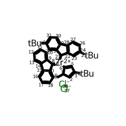 CC1C=C(C(C)(C)C)C=[C]1[Zr+2](=[C]1c2ccccc2-c2ccccc21)[CH]1c2cc(C(C)(C)C)ccc2-c2ccc(C(C)(C)C)cc21.[Cl-].[Cl-]